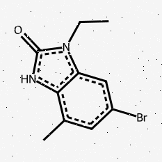 CCn1c(=O)[nH]c2c(C)cc(Br)cc21